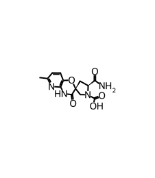 Cc1ccc2c(n1)NC(=O)[C@]1(C[C@@H](C(N)=O)N(C(=O)O)C1)O2